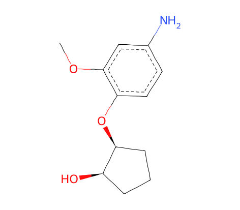 COc1cc(N)ccc1O[C@H]1CCC[C@H]1O